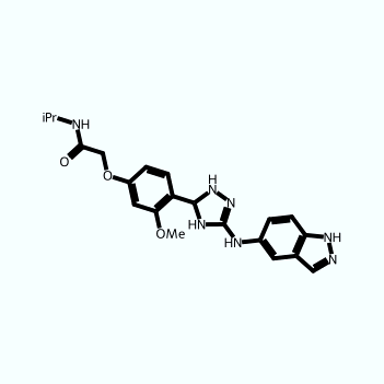 COc1cc(OCC(=O)NC(C)C)ccc1C1NN=C(Nc2ccc3[nH]ncc3c2)N1